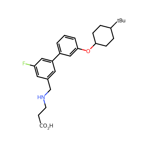 CC(C)(C)C1CCC(Oc2cccc(-c3cc(F)cc(CNCCC(=O)O)c3)c2)CC1